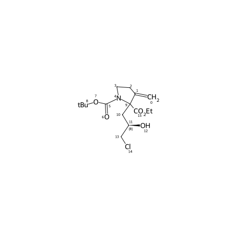 C=C1CCN(C(=O)OC(C)(C)C)C1(C[C@@H](O)CCl)C(=O)OCC